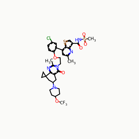 Cc1cc(-c2cc(Cl)ccc2OCCn2c(C)nc3c(c2=O)CC(N2CCC(OC(F)(F)F)CC2)CC32CC2)c2scc(C(=O)NS(C)(=O)=O)c2n1